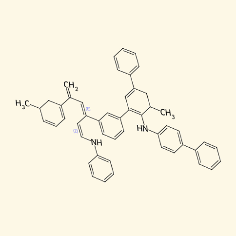 C=C(/C=C(\C=C/Nc1ccccc1)c1cccc(C2=C(Nc3ccc(-c4ccccc4)cc3)C(C)CC(c3ccccc3)=C2)c1)C1=CC=CC(C)C1